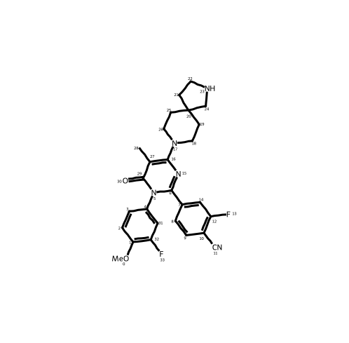 COc1ccc(-n2c(-c3ccc(C#N)c(F)c3)nc(N3CCC4(CCNC4)CC3)c(C)c2=O)cc1F